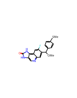 COC(c1ccc(SC)cc1)c1cc2ncc3[nH]c(=O)[nH]c3c2cc1F